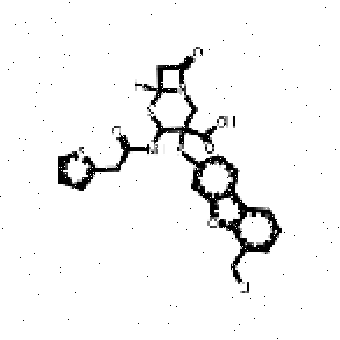 O=C(Cc1cccs1)NC1S[C@@H]2CC(=O)N2CC1(Sc1ccc2c(c1)oc1c(CCl)cccc12)C(=O)O